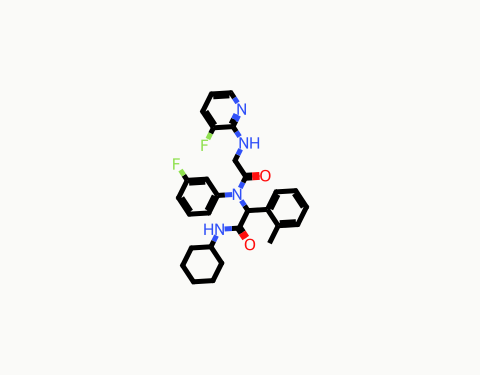 Cc1ccccc1C(C(=O)NC1CCCCC1)N(C(=O)CNc1ncccc1F)c1cccc(F)c1